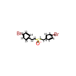 [O-][S+](CCc1ccc(Br)cc1)CCc1ccc(Br)cc1